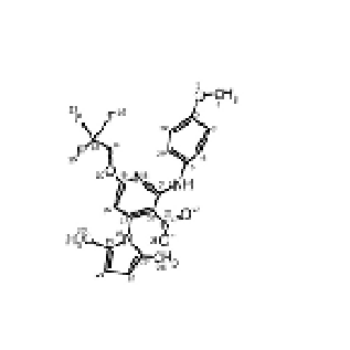 COc1ccc(Nc2nc(OCC(F)(F)F)cc(-n3c(C)ccc3C)c2[N+](=O)[O-])cc1